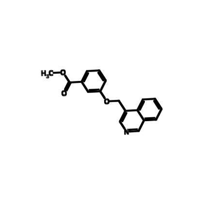 COC(=O)c1cccc(OCc2cncc3ccccc23)c1